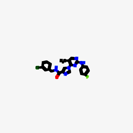 Cc1cnc(Nc2ccc(F)cc2)nc1-n1cnc(C(=O)NCc2cccc(Cl)c2)c1